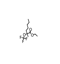 CCCCCC(C)(OC(F)(F)F)C(=O)OCC